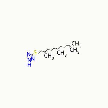 CC(C)=CCC/C(C)=C/CC/C(C)=C/CSc1nc[nH]n1